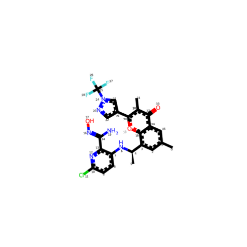 Cc1cc([C@@H](C)Nc2ccc(Cl)nc2/C(N)=N/O)c2oc(-c3cnn(C(F)(F)F)c3)c(C)c(=O)c2c1